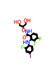 O=C(NOC(CO)CO)c1ccc(F)c(F)c1Nc1ccc(I)cc1F